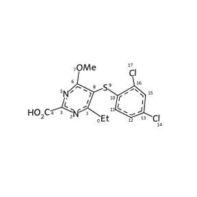 CCc1nc(C(=O)O)nc(OC)c1Sc1ccc(Cl)cc1Cl